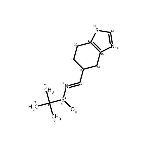 CC(C)(C)[S+]([O-])N=CC1CCc2scnc2C1